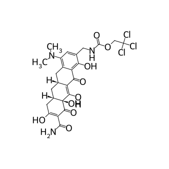 CN(C)c1cc(CNC(=O)OCC(Cl)(Cl)Cl)c(O)c2c1C[C@H]1C[C@H]3CC(O)=C(C(N)=O)C(=O)[C@@]3(O)C(O)=C1C2=O